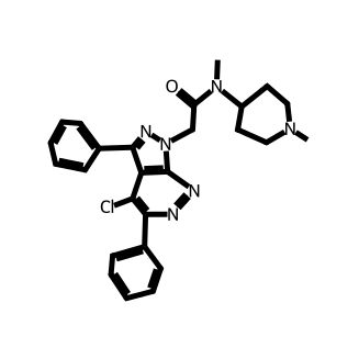 CN1CCC(N(C)C(=O)Cn2nc(-c3ccccc3)c3c(Cl)c(-c4ccccc4)nnc32)CC1